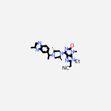 CCn1c(CC#N)nc2c(N3C[C@@H](C)N(C(C)c4ccc5ncc(C)nc5c4)C[C@@H]3C)nc(=O)n(C)c21